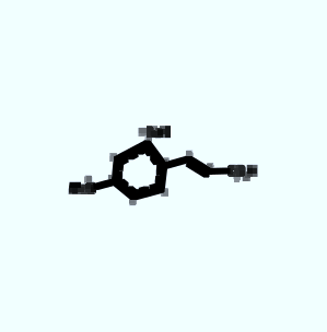 COc1ccc(C=CC(=O)O)cc1.[NaH]